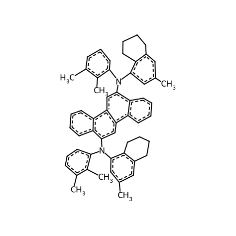 Cc1cc2c(c(N(c3cccc(C)c3C)c3cc4c5ccccc5c(N(c5cccc(C)c5C)c5cc(C)cc6c5CCCC6)cc4c4ccccc34)c1)CCCC2